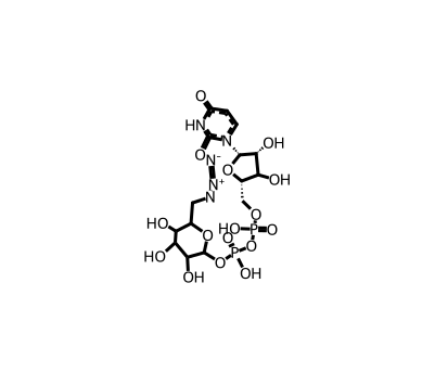 [N-]=[N+]=NCC1OC(OP(=O)(O)OP(=O)(O)OC[C@@H]2O[C@H](n3ccc(=O)[nH]c3=O)[C@H](O)C2O)C(O)C(O)C1O